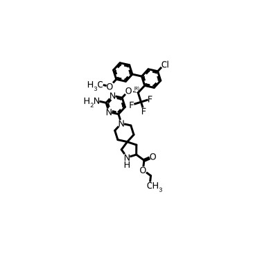 CCOC(=O)C1CC2(CCN(c3cc(O[C@H](c4ccc(Cl)cc4-c4cccc(OC)c4)C(F)(F)F)nc(N)n3)CC2)CN1